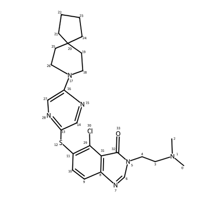 CN(C)CCn1cnc2ccc(Sc3cnc(N4CCC5(CCCC5)CC4)cn3)c(Cl)c2c1=O